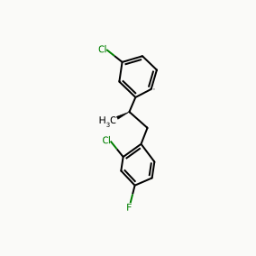 C[C@H](Cc1ccc(F)cc1Cl)c1[c]ccc(Cl)c1